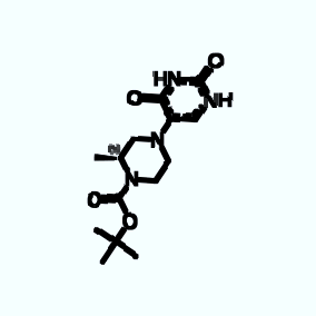 C[C@H]1CN(c2c[nH]c(=O)[nH]c2=O)CCN1C(=O)OC(C)(C)C